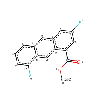 CCCCCCCCCCOC(=O)c1cc(F)cc2cc3cccc(F)c3cc12